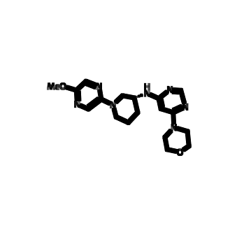 COc1cnc(N2CCC[C@@H](Nc3cc(N4CCOCC4)ncn3)C2)cn1